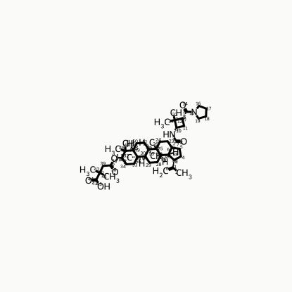 C=C(C)[C@@H]1CC[C@]2(C(=O)N[C@H]3C[C@@H](C(=O)N4CCCC4)C3(C)C)CC[C@]3(C)[C@H](CC[C@@H]4[C@@]5(C)CC[C@H](OC(=O)CC(C)(C)C(=O)O)C(C)(C)[C@@H]5CC[C@]43C)[C@@H]12